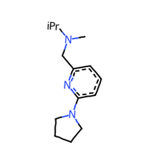 CC(C)N(C)Cc1cccc(N2CCCC2)n1